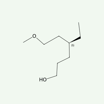 CC[C@@H](CCCO)CCOC